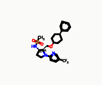 CS(=O)(=O)N[C@H]1CCN(c2ccc(C(F)(F)F)cn2)[C@H]1CO[C@H]1CC[C@@H](c2ccccc2)CC1